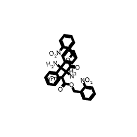 CCCC(C(=O)OCc1ccccc1[N+](=O)[O-])C(N)(C(=O)OCc1ccccc1[N+](=O)[O-])C(N)(c1ccccc1)c1ccccc1